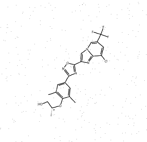 Cc1cc(-c2noc(-c3cn4cc(C(F)(F)F)cc(Cl)c4n3)n2)cc(C)c1O[C@H](C)CO